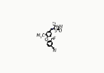 Cc1cc(/C=C2\SC(=O)NC2=O)ccc1Oc1ccc(C#N)cc1CF